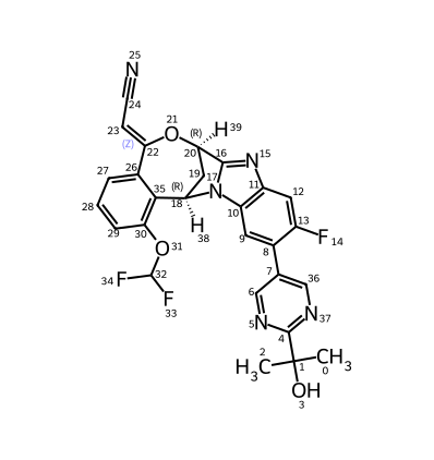 CC(C)(O)c1ncc(-c2cc3c(cc2F)nc2n3[C@@H]3C[C@H]2O/C(=C\C#N)c2cccc(OC(F)F)c23)cn1